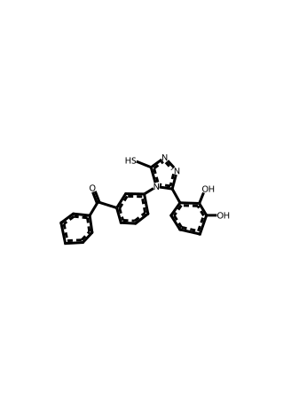 O=C(c1ccccc1)c1cccc(-n2c(S)nnc2-c2cccc(O)c2O)c1